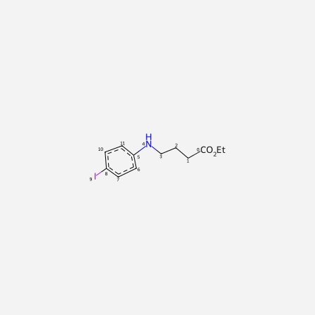 CCOC(=O)CCCNc1ccc(I)cc1